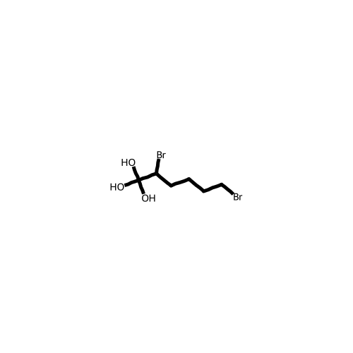 OC(O)(O)C(Br)CCCCBr